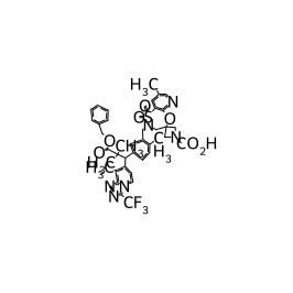 Cc1cnc2c(c1)S(=O)(=O)N(Cc1cc(C(c3ccn4c(C(F)(F)F)nnc4c3C)C(C)(C)C(=O)OCc3ccccc3)ccc1C)CC1(CN(C(=O)O)C1)O2